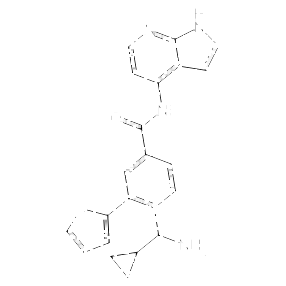 NC(c1ccc(C(=O)Nc2ccnc3[nH]ccc23)cc1-c1cccs1)C1CC1